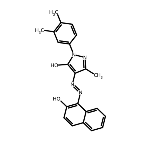 Cc1ccc(-n2nc(C)c(N=Nc3c(O)ccc4ccccc34)c2O)cc1C